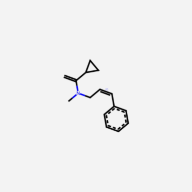 C=C(C1CC1)N(C)C/C=C\c1ccccc1